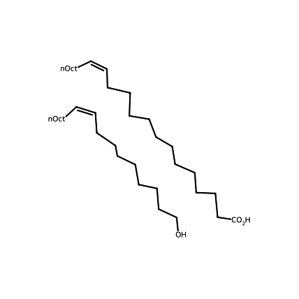 CCCCCCCC/C=C\CCCCCCCCCCCC(=O)O.CCCCCCCC/C=C\CCCCCCCCO